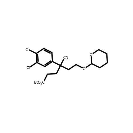 CCOC(=O)CCC(C#N)(CCOC1CCCCO1)c1ccc(Cl)c(Cl)c1